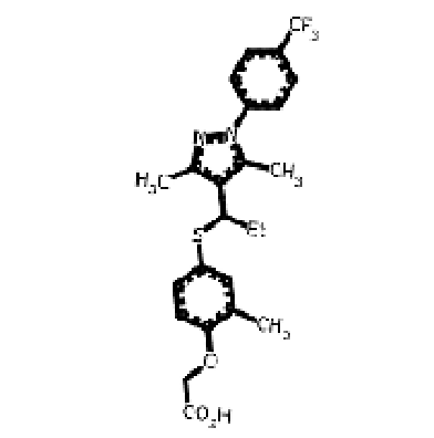 CCC(Sc1ccc(OCC(=O)O)c(C)c1)c1c(C)nn(-c2ccc(C(F)(F)F)cc2)c1C